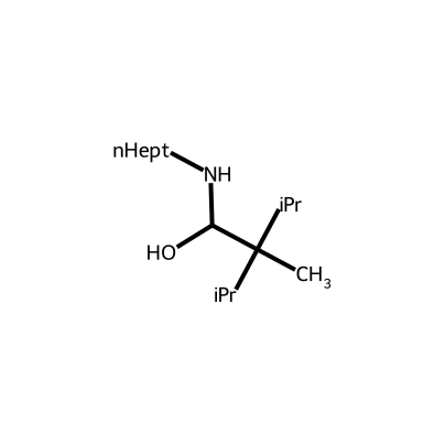 CCCCCCCNC(O)C(C)(C(C)C)C(C)C